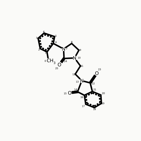 Cc1ccccc1N1CCN(CCN2C(=O)c3ccccc3C2=O)C1=O